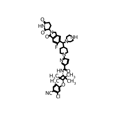 CC1(C)[C@H](NC(=O)c2ccc(N3CCC(C(c4cc5c(cc4F)C(=O)N(C4CCC(=O)NC4=O)C5)N4CCNCC4)CC3)nc2)C(C)(C)[C@H]1Oc1ccc(C#N)c(Cl)c1